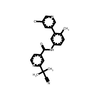 Cc1ccc(NC(=O)c2ccnc(C(C)(C)C#N)c2)cc1-c1cncc(Cl)c1